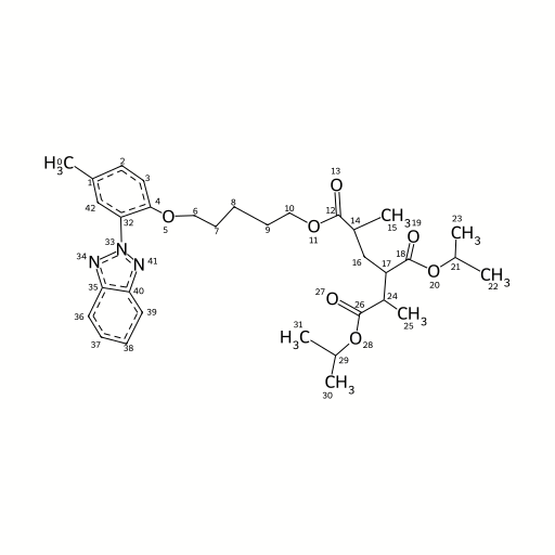 Cc1ccc(OCCCCCOC(=O)C(C)CC(C(=O)OC(C)C)C(C)C(=O)OC(C)C)c(-n2nc3ccccc3n2)c1